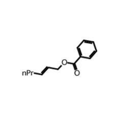 CCC/C=C/COC(=O)c1ccccc1